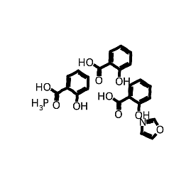 O=C(O)c1ccccc1O.O=C(O)c1ccccc1O.O=C(O)c1ccccc1O.P.c1cocn1